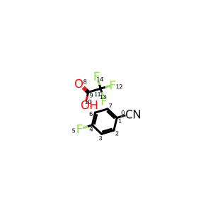 N#Cc1ccc(F)cc1.O=C(O)C(F)(F)F